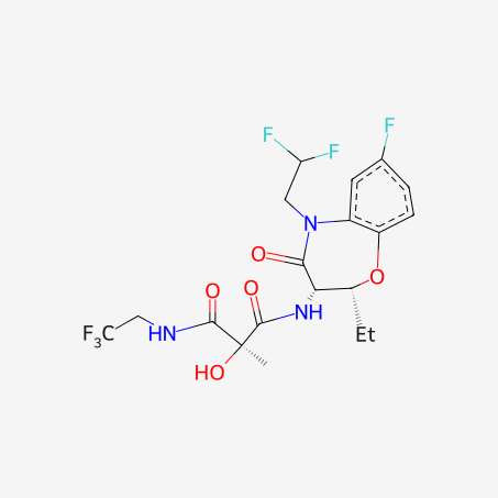 CC[C@H]1Oc2ccc(F)cc2N(CC(F)F)C(=O)[C@H]1NC(=O)[C@@](C)(O)C(=O)NCC(F)(F)F